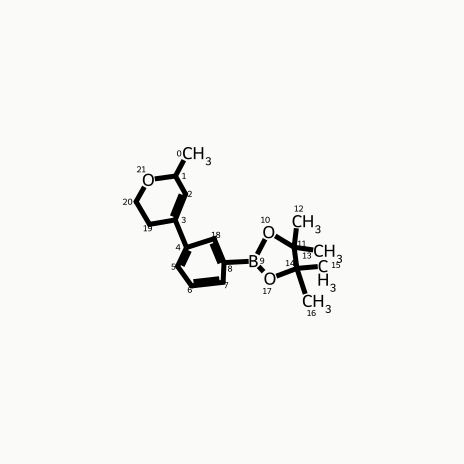 CC1C=C(c2cccc(B3OC(C)(C)C(C)(C)O3)c2)CCO1